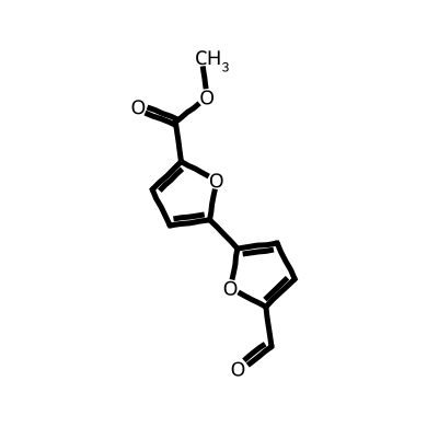 COC(=O)c1ccc(-c2ccc(C=O)o2)o1